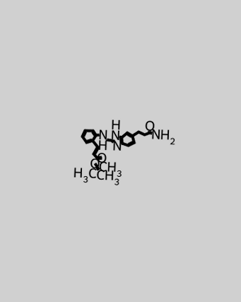 CC(C)(C)OC(=O)C=Cc1ccccc1NCc1nc2ccc(CCC(N)=O)cc2[nH]1